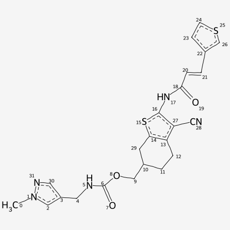 Cn1cc(CNC(=O)OCC2CCc3c(sc(NC(=O)C=Cc4ccsc4)c3C#N)C2)cn1